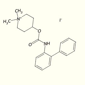 C[N+]1(C)CCC(OC(=O)Nc2ccccc2-c2ccccc2)CC1.[I-]